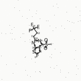 Cc1cc2c(S(C)(=O)=O)nc(CCC(F)(F)F)nc2s1